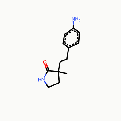 CC1(CCc2ccc(N)cc2)CCNC1=O